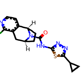 O=C(Nc1nnc(C2CC2)s1)N1[C@H]2CC[C@@H]1c1ccnc(F)c1C2